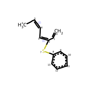 C=C/C(=C\C=C/C)Sc1ccccc1